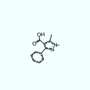 Cc1c(C(=O)O)c(-c2ccccc2)nn1C